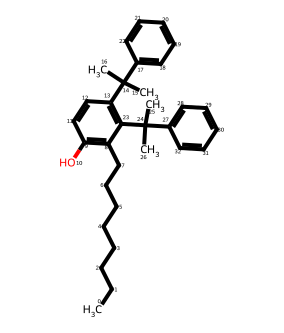 CCCCCCCCc1c(O)ccc(C(C)(C)c2ccccc2)c1C(C)(C)c1ccccc1